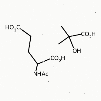 CC(=O)NC(CCC(=O)O)C(=O)O.CC(C)(O)C(=O)O